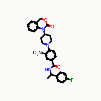 CC(NC(=O)c1ccc(N2CCC(N3C(=O)OCc4ccccc43)CC2)c([N+](=O)[O-])c1)c1ccc(F)cc1